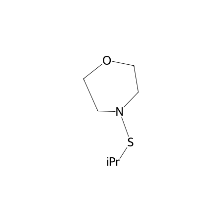 CC(C)SN1CCOCC1